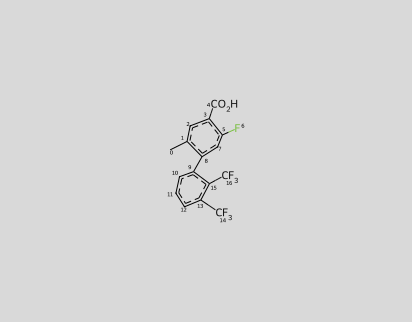 Cc1cc(C(=O)O)c(F)cc1-c1cccc(C(F)(F)F)c1C(F)(F)F